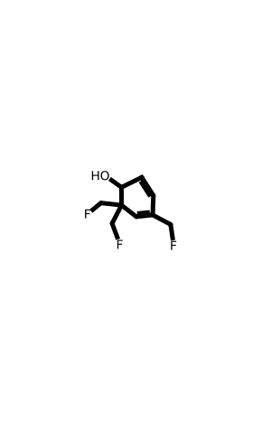 OC1C=CC(CF)=CC1(CF)CF